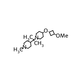 CO[C@H]1C[C@H](OC2CCN(C(C)(C)C3CCN(C)CC3)CC2)C1